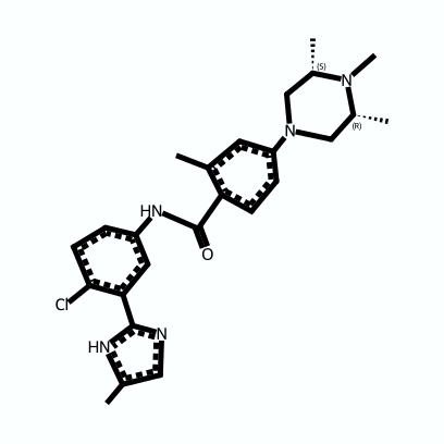 Cc1cnc(-c2cc(NC(=O)c3ccc(N4C[C@@H](C)N(C)[C@@H](C)C4)cc3C)ccc2Cl)[nH]1